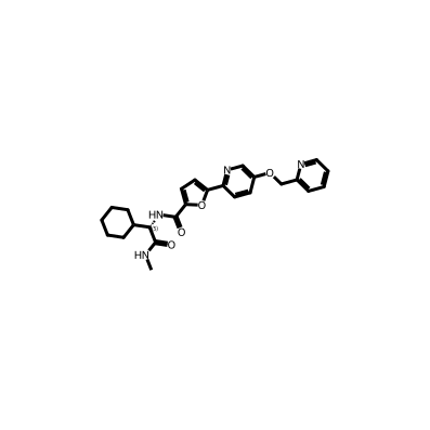 CNC(=O)[C@@H](NC(=O)c1ccc(-c2ccc(OCc3ccccn3)cn2)o1)C1CCCCC1